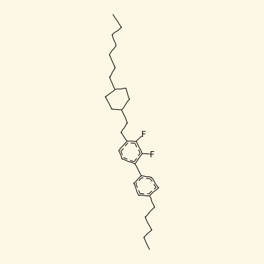 CCCCCCCC1CCC(CCc2ccc(-c3ccc(CCCCC)cc3)c(F)c2F)CC1